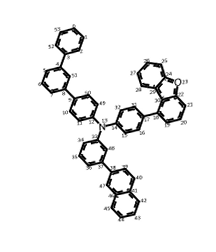 c1ccc(-c2cccc(-c3ccc(N(c4ccc(-c5cccc6oc7ccccc7c56)cc4)c4cccc(-c5ccc6ccccc6c5)c4)cc3)c2)cc1